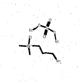 CCOS(=O)(=O)OCC.CC[N+](C)(C)CCCN